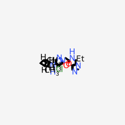 CCC(NC(=O)Cn1ncc(N[C@@H]2C[C@@H]3C[C@H]([C@H]2C)C3(C)C)c(Cl)c1=O)c1ccncn1